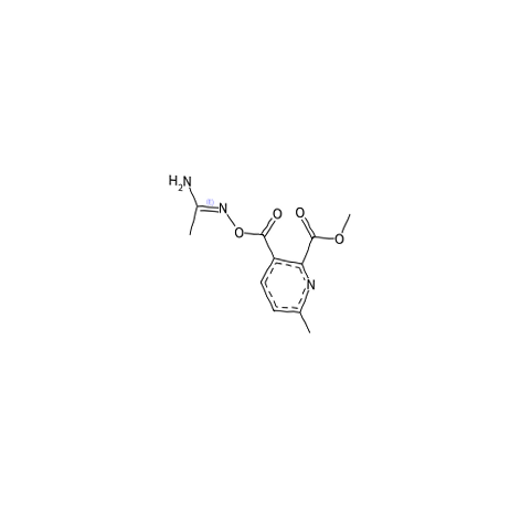 COC(=O)c1nc(C)ccc1C(=O)O/N=C(\C)N